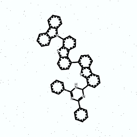 c1ccc(C2=NC(c3cccc4c3sc3c(-c5cccc6sc7c(-n8c9ccccc9c9ccccc98)cccc7c56)cccc34)NC(c3ccccc3)=N2)cc1